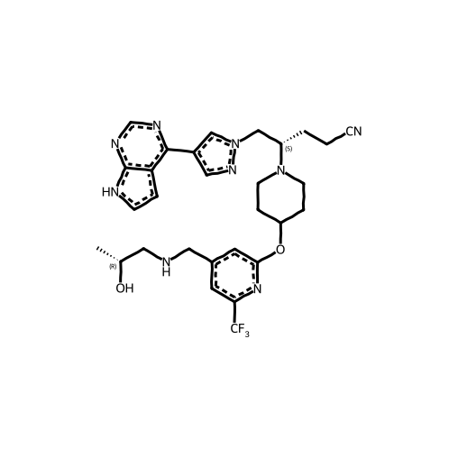 C[C@@H](O)CNCc1cc(OC2CCN([C@@H](CCC#N)Cn3cc(-c4ncnc5[nH]ccc45)cn3)CC2)nc(C(F)(F)F)c1